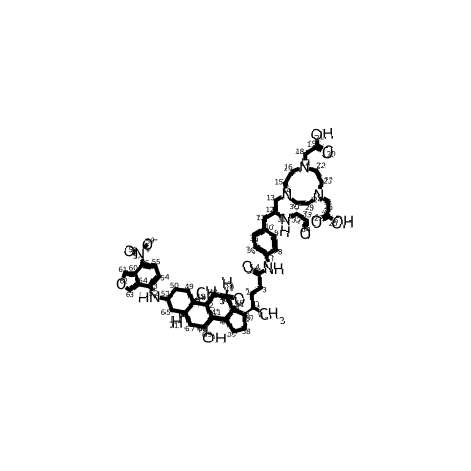 CC(CCC(=O)Nc1ccc(CC(CN2CCN(CC(=O)O)CCN(CC(=O)O)CC2)NCC=O)cc1)[C@H]1CCC2C3C(C[C@@H]4O[C@@]241)[C@@]1(C)CCC(Nc2ccc([N+](=O)[O-])c4cocc24)C[C@H]1C[C@H]3O